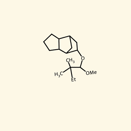 CCC(C)(C)C(OC)OC1CC2CC1C1CCCC21